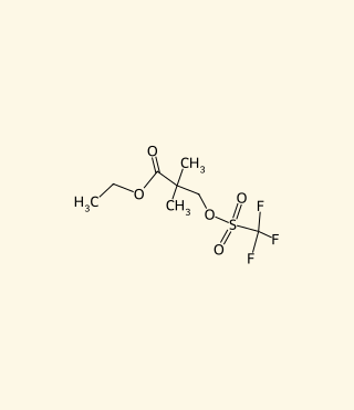 CCOC(=O)C(C)(C)COS(=O)(=O)C(F)(F)F